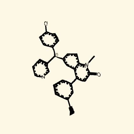 C#Cc1cccc(-c2cc(=O)n(C)c3ccc([C@H](c4ccc(Cl)cc4)c4cccnc4)cc23)c1